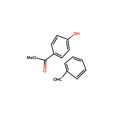 COC(=O)c1ccc(O)cc1.O=[C]c1ccccc1